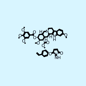 C=Cc1ccccc1.COC(=O)[C@H]1[C@H]2C[C@@H]3c4[nH]c5cc(OC)ccc5c4CCN3C[C@H]2C[C@@H](OC(=O)c2cc(OC)c(OC)c(OC)c2)[C@@H]1OC.N=[N+]1C(=O)C=CC1=O